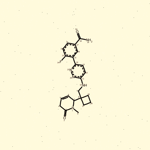 CN1C(=O)CC=CC1C1(CNc2ccc(-c3cc(C(N)=O)ccc3F)nn2)CCC1